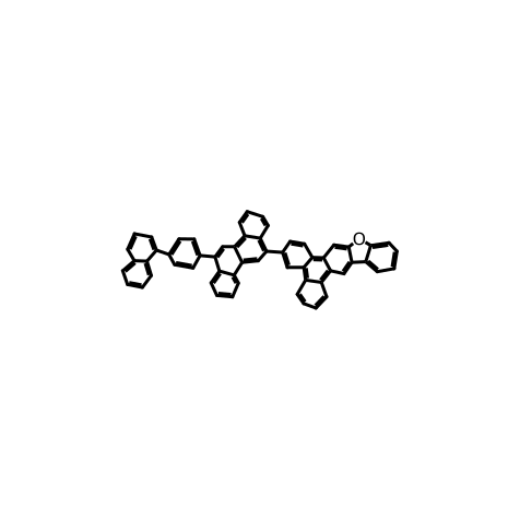 c1ccc2c(-c3ccc(-c4cc5c6ccccc6c(-c6ccc7c(c6)c6ccccc6c6cc8c(cc76)oc6ccccc68)cc5c5ccccc45)cc3)cccc2c1